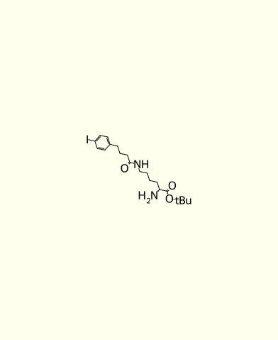 CC(C)(C)OC(=O)[C@@H](N)CCCCNC(=O)CCCc1ccc(I)cc1